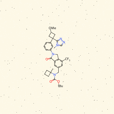 COC1CC(c2cccc(N3Cc4c(cc(CN(C(=O)OC(C)(C)C)C5(C)CCC5)cc4C(F)(F)F)C3=O)c2)(c2nncn2C)C1